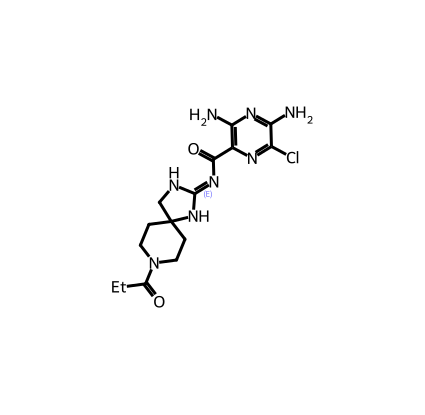 CCC(=O)N1CCC2(CC1)CN/C(=N\C(=O)c1nc(Cl)c(N)nc1N)N2